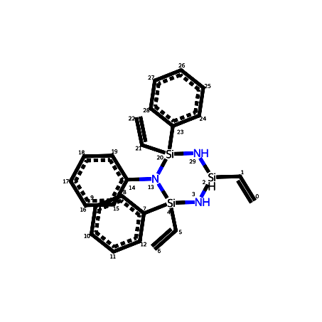 C=C[SiH]1N[Si](C=C)(c2ccccc2)N(c2ccccc2)[Si](C=C)(c2ccccc2)N1